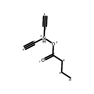 C#C[SiH](C#C)OC(=O)CCC